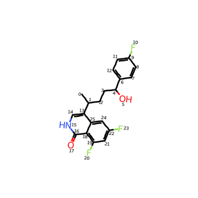 CC([CH]CC(O)c1ccc(F)cc1)c1c[nH]c(=O)c2c(F)cc(F)cc12